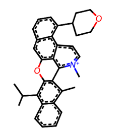 Cc1c2c(c(C(C)C)c3ccccc13)Oc1cc3cccc(C4CCOCC4)c3c3cc[n+](C)c-2c13